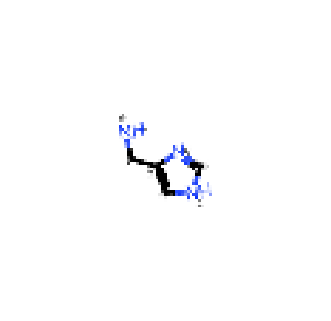 [NH]Cc1c[nH]cn1